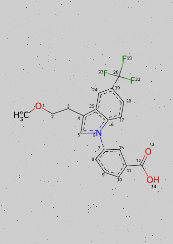 COCCc1cn(-c2cccc(C(=O)O)c2)c2ccc(C(F)(F)F)cc12